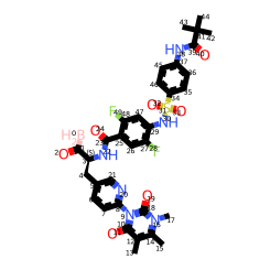 BC(=O)[C@H](Cc1ccc(-n2c(=O)c(C)c(C)n(C)c2=O)nc1)NC(=O)c1cc(F)c(NS(=O)(=O)c2ccc(NC(=O)C(C)(C)C)cc2)cc1F